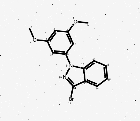 COc1cc(OC)cc(-n2nc(Br)c3ccccc32)c1